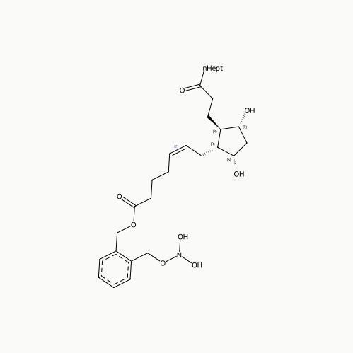 CCCCCCCC(=O)CC[C@@H]1[C@@H](C/C=C\CCCC(=O)OCc2ccccc2CON(O)O)[C@@H](O)C[C@H]1O